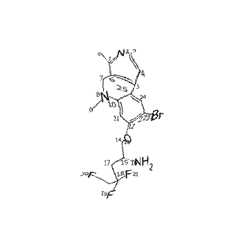 Cc1nccc2c1CN(C)c1cc(OCC(N)CC(F)(F)F)c(Br)cc1-2